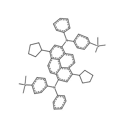 C[Si](C)(C)c1ccc(N(c2ccccc2)c2cc(C3CCCC3)c3ccc4c(N(c5ccccc5)c5ccc([Si](C)(C)C)cc5)cc(C5CCCC5)c5ccc2c3c54)cc1